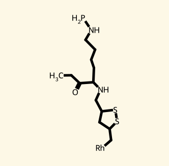 CCC(=O)C(CCCCNP)NCC1CC([CH2][Rh])SS1